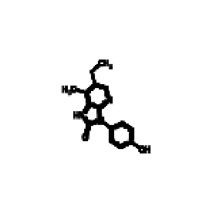 CCc1cnc2c([nH]c(=O)n2-c2ccc(O)cc2)c1C